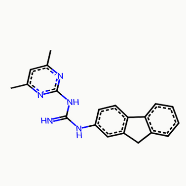 Cc1cc(C)nc(NC(=N)Nc2ccc3c(c2)Cc2ccccc2-3)n1